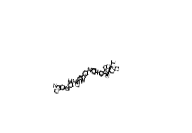 CN(C1CCN(c2ccc3c(c2)C(=O)N(C2CCC(=O)NC2=O)C3=O)CC1)C1CCN(c2ccc(C(=O)N[C@H]3CC[C@H](Oc4ccc(C#N)c(Cl)c4)CC3)nn2)CC1